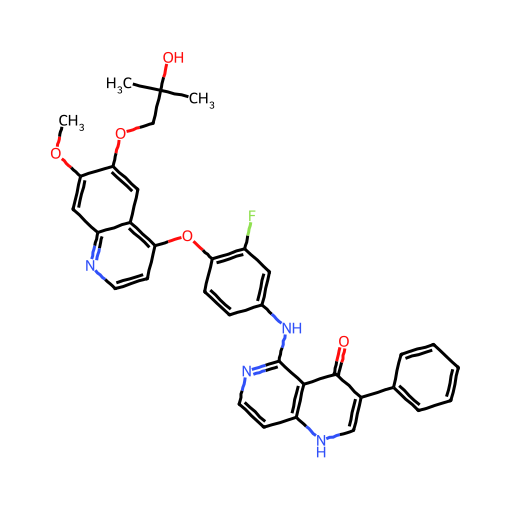 COc1cc2nccc(Oc3ccc(Nc4nccc5[nH]cc(-c6ccccc6)c(=O)c45)cc3F)c2cc1OCC(C)(C)O